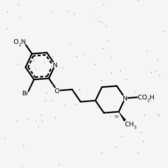 C[C@H]1CC(CCOc2ncc([N+](=O)[O-])cc2Br)CCN1C(=O)O